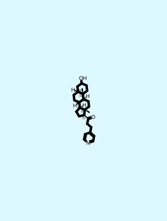 C[C@]12CCC(O)C[C@H]1CC[C@@H]1[C@@H]2CC[C@]2(C)[C@@H](C(=O)CCc3ccncc3)CC[C@@H]12